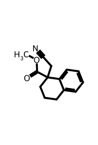 COC(=O)C1(CC#N)CCCc2ccccc21